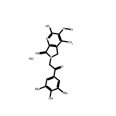 CCCc1nc2c(c(C)c1OCC)CN(CC(=O)c1cc(C(C)(C)C)c(O)c(C(C)(C)C)c1)C2=N.Cl